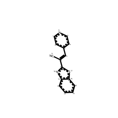 N#C/C(=C\c1ccncc1)c1nc2ccccc2s1